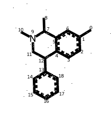 Cc1ccc2c(c1)C(C)N(C)CC2c1ccccc1